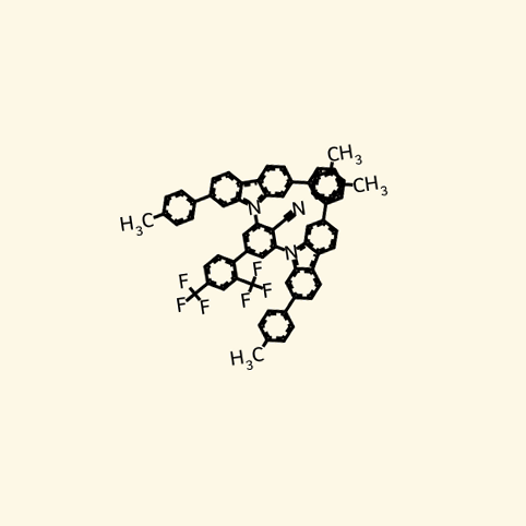 Cc1ccc(-c2ccc3c4ccc(-c5ccc(C)cc5)cc4n(-c4cc(-c5ccc(C(F)(F)F)cc5C(F)(F)F)cc(-n5c6cc(-c7ccc(C)cc7)ccc6c6ccc(-c7ccc(C)cc7)cc65)c4C#N)c3c2)cc1